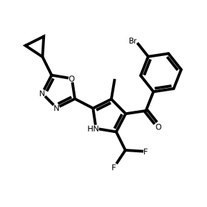 Cc1c(-c2nnc(C3CC3)o2)[nH]c(C(F)F)c1C(=O)c1cccc(Br)c1